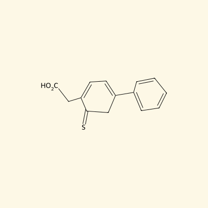 O=C(O)CC1=CC=C(c2ccccc2)CC1=S